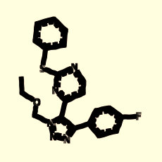 CCOCn1nnc(-c2ccc(F)cc2)c1-c1ccnc(Sc2ccccc2)n1